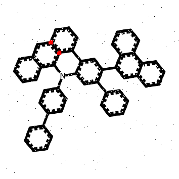 c1ccc(-c2ccc(N(c3cc(-c4ccccc4)c(-c4cc5ccccc5c5ccccc45)cc3-c3ccccc3)c3cccc4ccccc34)cc2)cc1